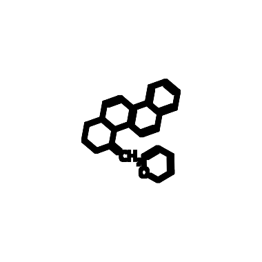 C1=CCOC=C1.C=C1CCCC2C=Cc3c(ccc4ccccc34)C12